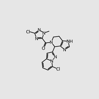 Cn1nc(Cl)nc1C(=O)N1CCc2[nH]cnc2C1c1cc2cccc(Cl)n2n1